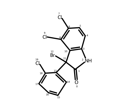 O=C1Nc2ccc(Cl)c(Cl)c2C1(Br)c1ccccc1Cl